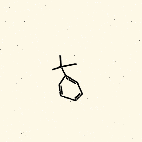 [CH2]C(C)(C)c1ccccc1